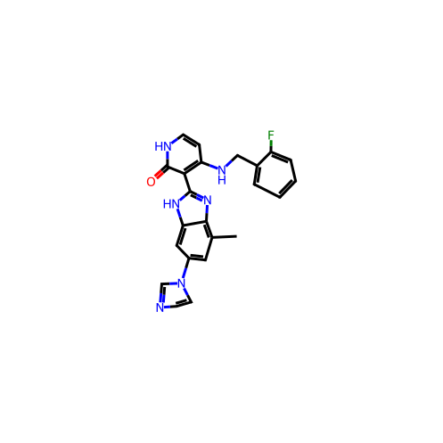 Cc1cc(-n2ccnc2)cc2[nH]c(-c3c(NCc4ccccc4F)cc[nH]c3=O)nc12